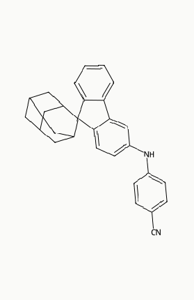 N#Cc1ccc(Nc2ccc3c(c2)-c2ccccc2C32C3CC4CC(C3)CC2C4)cc1